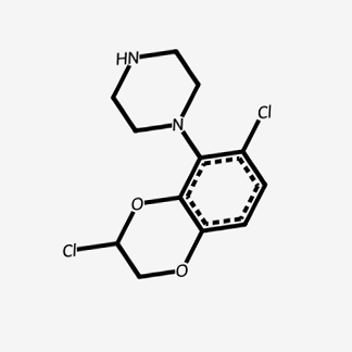 Clc1ccc2c(c1N1CCNCC1)OC(Cl)CO2